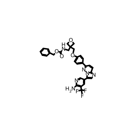 Nc1ncc(-c2cnc3ccc(-c4ccc(OCC5(CNC(=O)OCc6ccccc6)COC5)cc4)nn23)cc1C(F)(F)F